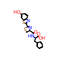 O=C(NC(Cc1ccccc1)C(=O)O)C1CSC(c2nc3ccc(O)cc3s2)=N1